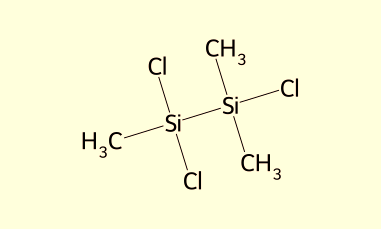 C[Si](C)(Cl)[Si](C)(Cl)Cl